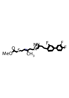 COC(=O)CSC/C=C(\C)CCn1cc(CCc2ccc(-c3ccc(F)c(F)c3)cc2F)nn1